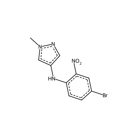 Cn1cc(Nc2ccc(Br)cc2[N+](=O)[O-])cn1